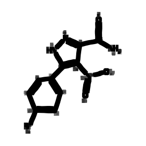 NC(=O)c1n[nH]c(-c2ccc(Br)cc2)c1[N+](=O)[O-]